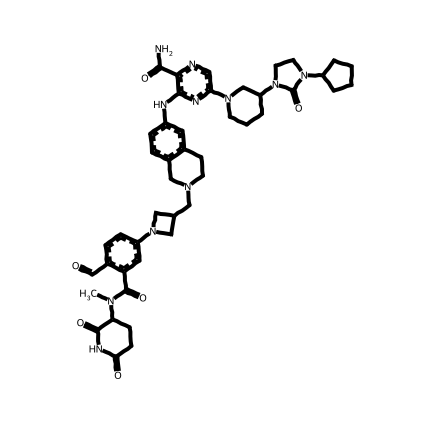 CN(C(=O)c1cc(N2CC(CN3CCc4cc(Nc5nc(N6CCCC(N7CCN(C8CCCC8)C7=O)C6)cnc5C(N)=O)ccc4C3)C2)ccc1C=O)C1CCC(=O)NC1=O